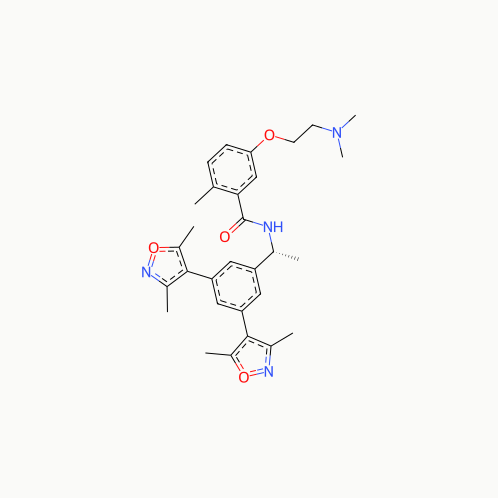 Cc1ccc(OCCN(C)C)cc1C(=O)N[C@H](C)c1cc(-c2c(C)noc2C)cc(-c2c(C)noc2C)c1